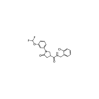 O=C(NCc1ccccc1Cl)C1CC(=O)N(c2cccc(OC(F)F)c2)C1